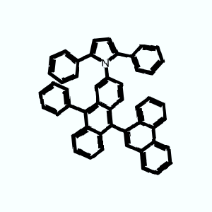 c1ccc(-c2c3ccccc3c(-c3cc4ccccc4c4ccccc34)c3ccc(-n4c(-c5ccccc5)ccc4-c4ccccc4)cc23)cc1